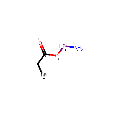 CCCCC(=O)OPN